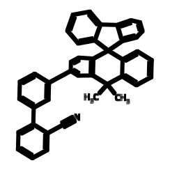 CC1(C)c2ccccc2C2(c3ccccc3-c3ccccc32)c2ccc(-c3cccc(-c4ccccc4C#N)c3)cc21